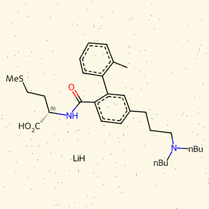 CCCCN(CCCC)CCCc1ccc(C(=O)N[C@@H](CCSC)C(=O)O)c(-c2ccccc2C)c1.[LiH]